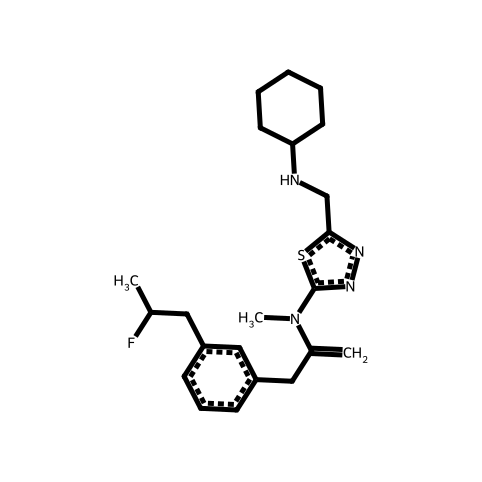 C=C(Cc1cccc(CC(C)F)c1)N(C)c1nnc(CNC2CCCCC2)s1